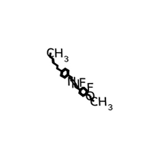 CC/C=C/CCc1ccc(C=NN=Cc2ccc(OCC)c(F)c2F)cc1